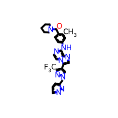 Cc1cc(Nc2nccn3c(-c4cn(Cc5cccnn5)nc4C(F)(F)F)cnc23)ccc1C(=O)N1CCCCC1